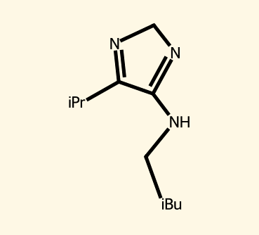 CCC(C)CNC1=NCN=C1C(C)C